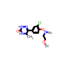 CCOCCN(Oc1ccc(C2=NNC(=O)NC2C)cc1Cl)C(C)=O